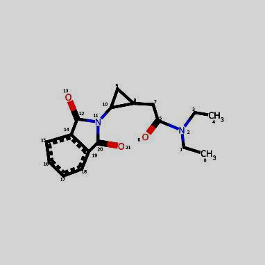 CCN(CC)C(=O)CC1CC1N1C(=O)c2ccccc2C1=O